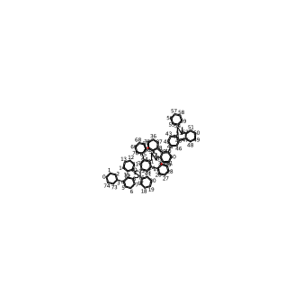 c1ccc(-c2cccc([Si](c3ccccc3)(c3ccccc3)c3cc(-c4ccccc4)c(-n4c5ccccc5c5c(-c6ccc7c(c6)c6ccccc6n7-c6ccccc6)cccc54)c(-c4ccccc4)c3)c2)cc1